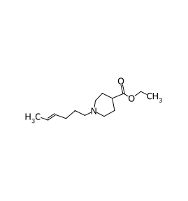 CC=CCCCN1CCC(C(=O)OCC)CC1